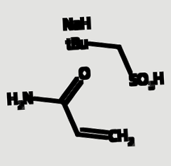 C=CC(N)=O.CC(C)(C)CS(=O)(=O)O.[NaH]